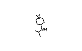 CC(C)NC1CC[Si](C)(C)CC1